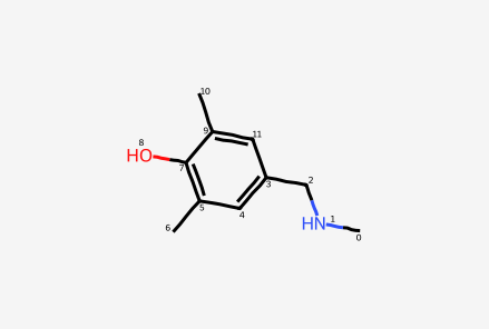 CNCc1cc(C)c(O)c(C)c1